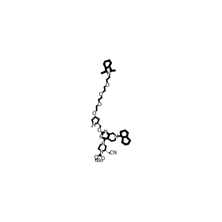 C=c1c2ccccc2c(=C)n1CCOCCOCCOCCO[C@@H]1C[C@@H](COc2nc3c(c(N4CCN(C(=O)OC(C)(C)C)[C@@H](CC#N)C4)n2)CCN(c2cccc4ccccc24)C3)N(C)C1